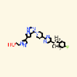 C[C@H]([SiH2]c1ccc(F)cc1)c1cnc(C2=CCN(c3ncnn4cc(-c5cnn(CCO)c5)cc34)CC2)nc1